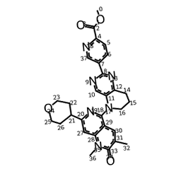 COC(=O)c1ccc(-c2ncc3c(n2)CCCN3c2nc(C3CCOCC3)cc3c2cc(C)c(=O)n3C)cn1